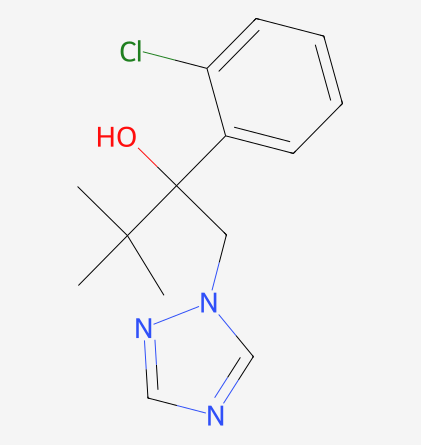 CC(C)(C)C(O)(Cn1cncn1)c1ccccc1Cl